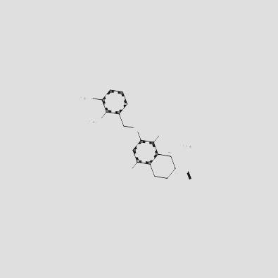 C=C[C@@H]1CCc2c(C)cc(OCc3cccc(OC)c3OC)c(C)c2[C@@H]1OC